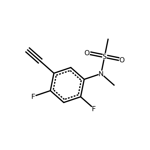 C#Cc1cc(N(C)S(C)(=O)=O)c(F)cc1F